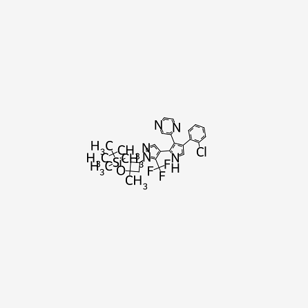 CC1(O[Si](C)(C)C(C)(C)C)CC(n2ncc(-c3[nH]cc(-c4ccccc4Cl)c3-c3cnccn3)c2C(F)(F)F)C1